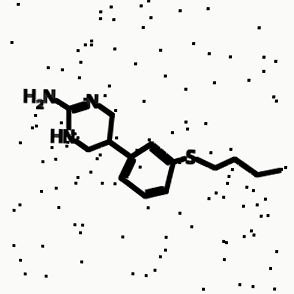 CCCCSc1cccc(C2CN=C(N)NC2)c1